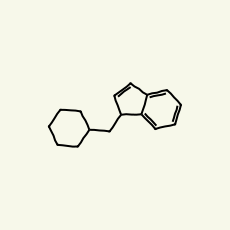 C1=CC(CC2CCCCC2)c2ccccc21